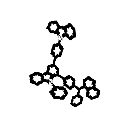 c1ccc(C(c2ccc(-c3cc(-c4ccc(-n5c6ccccc6c6ccccc65)cc4)cc4c5ccccc5n(-c5ccccc5)c34)cc2)c2cccc3ccccc23)cc1